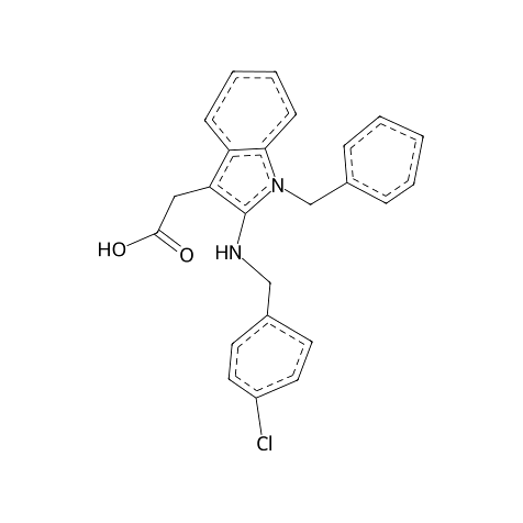 O=C(O)Cc1c(NCc2ccc(Cl)cc2)n(Cc2ccccc2)c2ccccc12